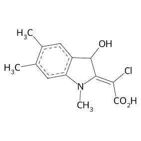 Cc1cc2c(cc1C)N(C)C(=C(Cl)C(=O)O)C2O